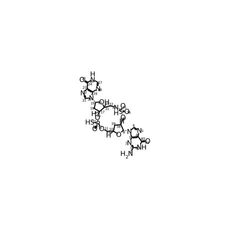 Nc1nc2c(ncn2[C@@H]2O[C@@H]3COP(=O)(S)O[C@H]4C[C@H](n5cnc6c(=O)[nH]cnc65)O[C@@H]4CNS(=O)(=O)O[C@@H]2C3)c(=O)[nH]1